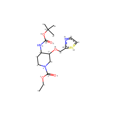 CCOC(=O)N1CCC(NC(=O)OC(C)(C)C)C(OCc2nccs2)C1